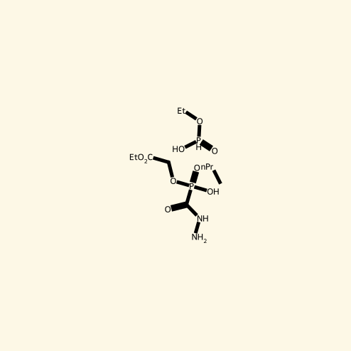 CCCC.CCOC(=O)COP(=O)(O)C(=O)NN.CCO[PH](=O)O